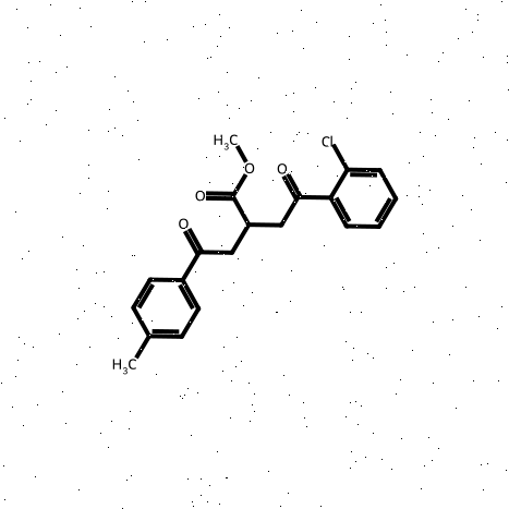 COC(=O)C(CC(=O)c1ccc(C)cc1)CC(=O)c1ccccc1Cl